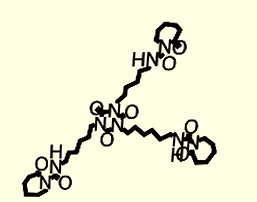 O=C1CCCCCN1C(=O)NCCCCCCn1c(=O)n(CCCCCCNC(=O)N2CCCCCC2=O)c(=O)n(CCCCCCNC(=O)N2CCCCCC2=O)c1=O